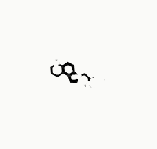 C[C@H](Cn1ccc2c3c(ccc21)[S+]([O-])CCC3)N(C)C